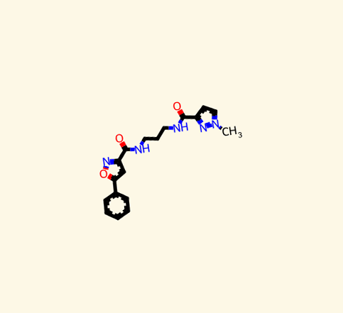 Cn1ccc(C(=O)NCCCNC(=O)c2cc(-c3ccccc3)on2)n1